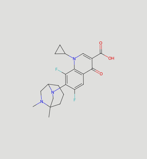 CN1CC2CCCC1(C)CN2c1c(F)cc2c(=O)c(C(=O)O)cn(C3CC3)c2c1F